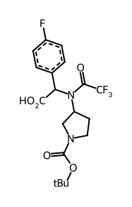 CC(C)(C)OC(=O)N1CCC(N(C(=O)C(F)(F)F)C(C(=O)O)c2ccc(F)cc2)C1